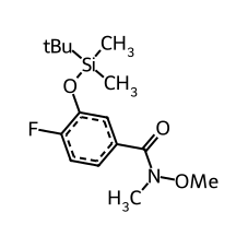 CON(C)C(=O)c1ccc(F)c(O[Si](C)(C)C(C)(C)C)c1